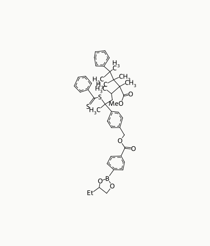 CCC1COB(c2ccc(C(=O)OCc3ccc(C(C)(CC(C)C(C)(C(=O)OC)C(C)(C)C(C)(C)c4ccccc4)SC(=S)c4ccccc4)cc3)cc2)O1